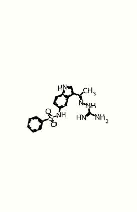 CC(=NNC(=N)N)c1c[nH]c2ccc(NS(=O)(=O)c3ccccc3)cc12